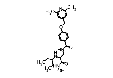 CCC(CC)NC(CNC(=O)c1ccc(OCc2cc(C)nc(C)c2)cc1)C(=O)NO